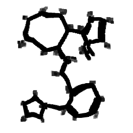 c1ccc(N2CCCC2)c(CSC2CCCCCC2c2ncc[nH]2)c1